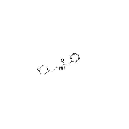 O=C([CH]c1ccccc1)NCCN1CCOCC1